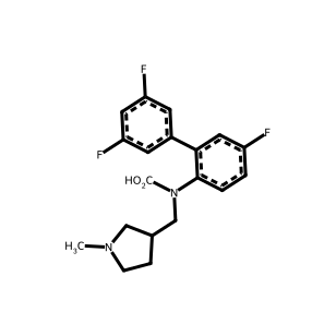 CN1CCC(CN(C(=O)O)c2ccc(F)cc2-c2cc(F)cc(F)c2)C1